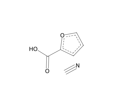 C#N.O=C(O)c1ccco1